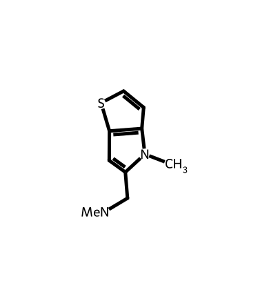 CNCc1cc2sccc2n1C